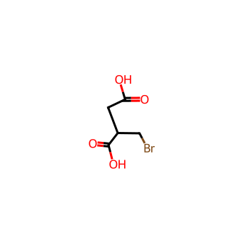 O=C(O)CC(CBr)C(=O)O